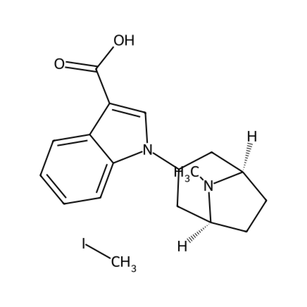 CI.CN1[C@@H]2CC[C@H]1CC(n1cc(C(=O)O)c3ccccc31)C2